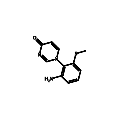 CSc1cccc(N)c1-n1ccc(=O)nc1